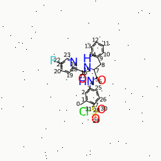 Cc1cc(NC(=O)C(Cc2ccccc2)NC(=O)c2ccc(F)cn2)ccc1S(=O)(=O)Cl